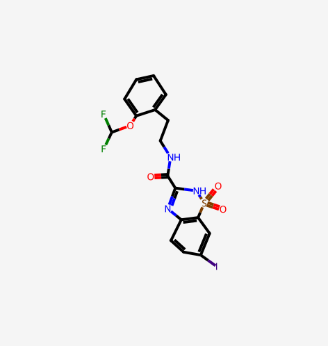 O=C(NCCc1ccccc1OC(F)F)C1=Nc2ccc(I)cc2S(=O)(=O)N1